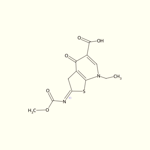 CCn1cc(C(=O)O)c(=O)c2c1S/C(=N/C(=O)OC)C2